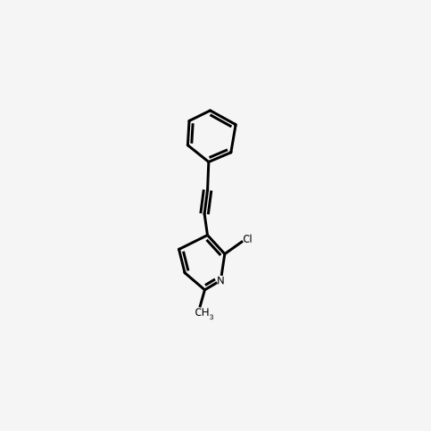 Cc1ccc(C#Cc2ccccc2)c(Cl)n1